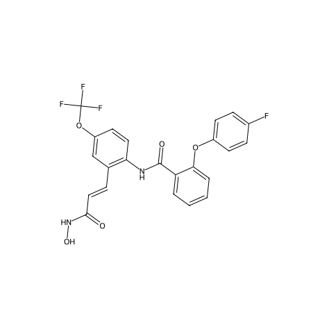 O=C(C=Cc1cc(OC(F)(F)F)ccc1NC(=O)c1ccccc1Oc1ccc(F)cc1)NO